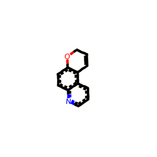 C1=Cc2c(ccc3ncccc23)OC1